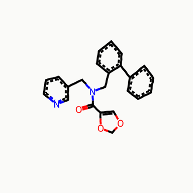 O=C(C1=COCO1)N(Cc1cccnc1)Cc1ccccc1-c1ccccc1